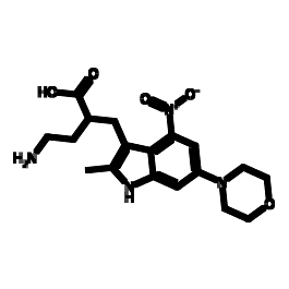 Cc1[nH]c2cc(N3CCOCC3)cc([N+](=O)[O-])c2c1CC(CCN)C(=O)O